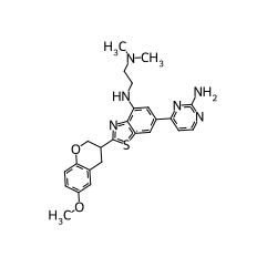 COc1ccc2c(c1)CC(c1nc3c(NCCN(C)C)cc(-c4ccnc(N)n4)cc3s1)CO2